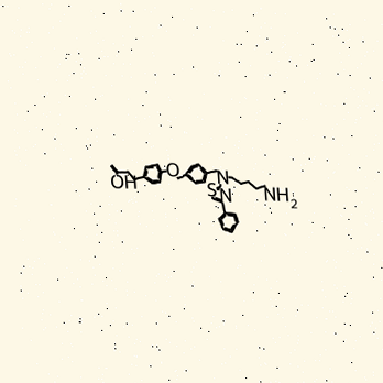 C=C(O)CCc1ccc(OCc2ccc(CN(CCCCCN)c3nc(-c4ccccc4)cs3)cc2)cc1